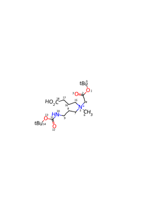 CC(C)(C)OC(=O)C[N@@+](C)(CCCNC(=O)OC(C)(C)C)CCCC(=O)O